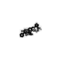 CO[C@@]1(NC(=O)C(NC=O)c2ccccc2)C(=O)N2C(C(=O)O)=C(CSc3cnnn3C)CSC21